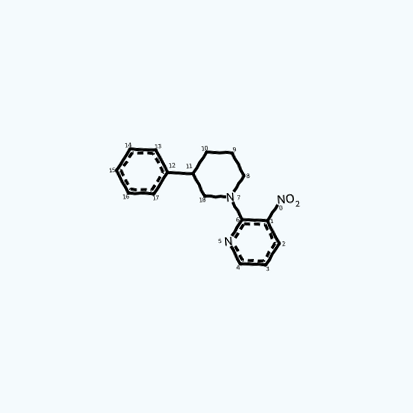 O=[N+]([O-])c1cccnc1N1CCCC(c2ccccc2)C1